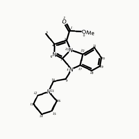 COC(=O)c1c(C)nc2n(CCN3CCCCC3)c3ccccc3n12